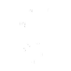 O=c1c(Cl)c(Cl)cnn1[C@H]1CC[C@H](Nc2ccc(OC(F)(F)F)nc2)CC1